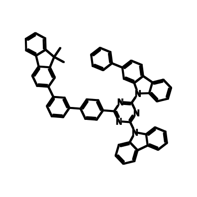 CC1(C)c2ccccc2-c2ccc(-c3cccc(-c4ccc(-c5nc(-n6c7ccccc7c7ccccc76)nc(-n6c7ccccc7c7ccc(-c8ccccc8)cc76)n5)cc4)c3)cc21